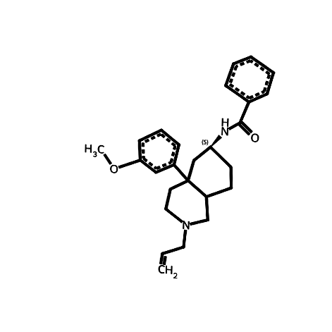 C=CCN1CCC2(c3cccc(OC)c3)C[C@@H](NC(=O)c3ccccc3)CCC2C1